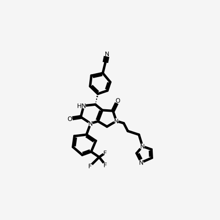 N#Cc1ccc([C@H]2NC(=O)N(c3cccc(C(F)(F)F)c3)C3=C2C(=O)N(CCCn2ccnc2)C3)cc1